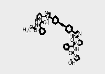 COC(=O)N[C@@H](C(=O)N1CCC[C@H]1c1ncc(-c2ccc(C#Cc3ccc(-c4cnc([C@@H]5CCCN5C(=O)[C@H](NC(=O)N5CCC[C@@H]5CO)c5ccccc5)[nH]4)cc3)cc2)[nH]1)c1ccccc1